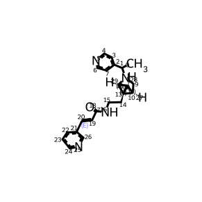 CC(c1ccncc1)N1C[C@@H]2[C@@H]3[C@H]1[C@]32CCNC(=O)/C=C/c1cccnc1